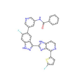 O=C(Nc1cncc(-c2cc3c(-c4nc5c(-c6ccc(F)s6)nccc5[nH]4)n[nH]c3cc2F)c1)c1ccccc1